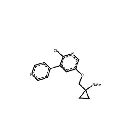 CNC1(COc2cnc(Cl)c(-c3ccncc3)c2)CC1